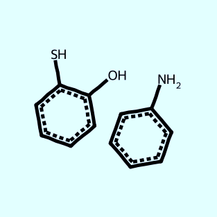 Nc1ccccc1.Oc1ccccc1S